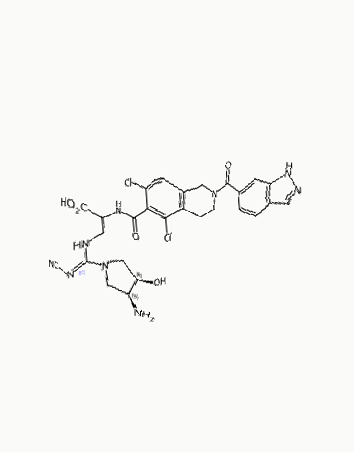 N#C/N=C(\NCC(NC(=O)c1c(Cl)cc2c(c1Cl)CCN(C(=O)c1ccc3cn[nH]c3c1)C2)C(=O)O)N1C[C@@H](O)[C@@H](N)C1